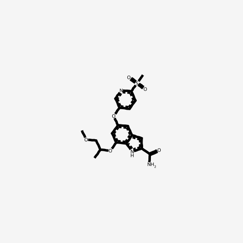 COCC(C)Oc1cc(Oc2ccc(S(C)(=O)=O)nc2)cc2cc(C(N)=O)[nH]c12